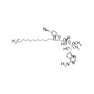 CCCCCCCCCCCCCCOC[C@H](COP(=O)(O)OC[C@@](C)(OC)[C@@H](O)Cc1ccc2c(N)ncnn12)Oc1ccc(C#N)cn1